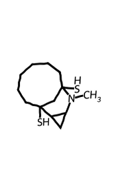 CN1C2CC2C2(S)CCCCCCC1(S)C2